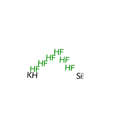 F.F.F.F.F.F.[KH].[Si]